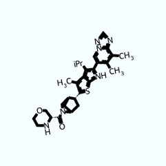 Cc1c(-c2[nH]c3sc([C@@H]4CC5CC4CN5C(=O)[C@H]4COCCN4)c(C)c3c2C(C)C)cn2ncnc2c1C